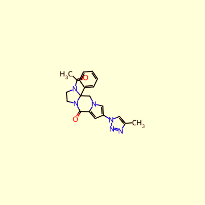 CC(=O)N1CCN2C(=O)c3cc(-n4cc(C)nn4)cn3CC12c1ccccc1